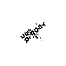 C=CC(=O)Nc1cc(Nc2cc(N3OCC[C@@H]3c3cc(F)cc(F)c3)ncn2)c(OC)cc1N1CCC(N2CCN(C3CC3)[C@H](C)C2)CC1